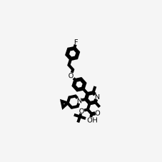 Cc1nc(C)c(C(OC(C)(C)C)C(=O)O)c(N2CCC3(CC2)CC3)c1-c1ccc(OCCc2ccc(F)cc2)cc1